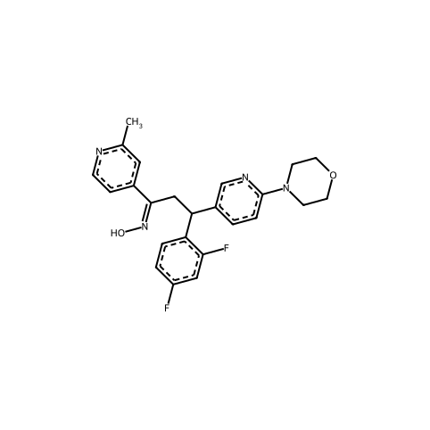 Cc1cc(/C(CC(c2ccc(N3CCOCC3)nc2)c2ccc(F)cc2F)=N\O)ccn1